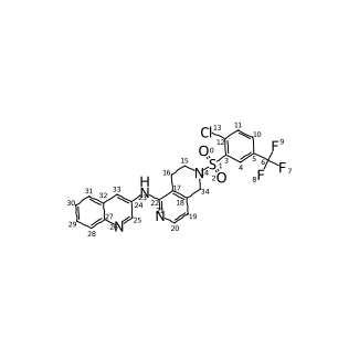 O=S(=O)(c1cc(C(F)(F)F)ccc1Cl)N1CCc2c(ccnc2Nc2cnc3ccccc3c2)C1